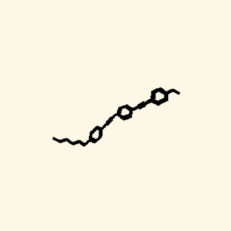 CCCCCCc1ccc(C#Cc2ccc(C#Cc3ccc(CC)cc3)cc2)cc1